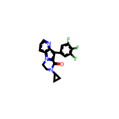 O=C1c2c(-c3cc(F)c(F)c(F)c3)c3ncccc3n2CCN1C1CC1